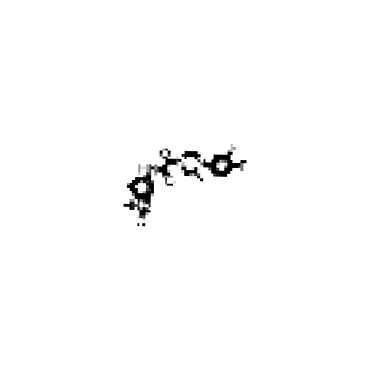 C[C@H]1CN(C(=O)C(=O)Nc2ccc3[nH]c(=O)oc3c2)CCN1c1ccc(F)c(F)c1